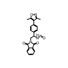 Cc1noc(C)c1-c1ccc(C(CN2C(=O)c3ccccc3C2=O)NN=O)cc1